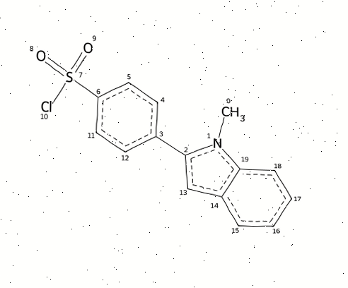 Cn1c(-c2ccc(S(=O)(=O)Cl)cc2)cc2ccccc21